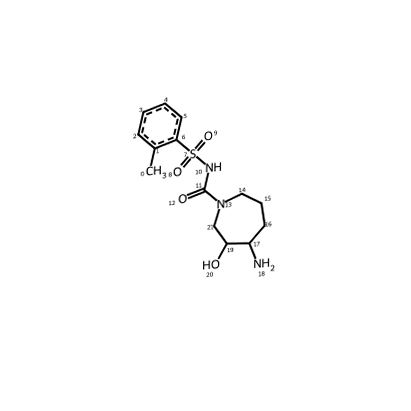 Cc1ccccc1S(=O)(=O)NC(=O)N1CCCC(N)C(O)C1